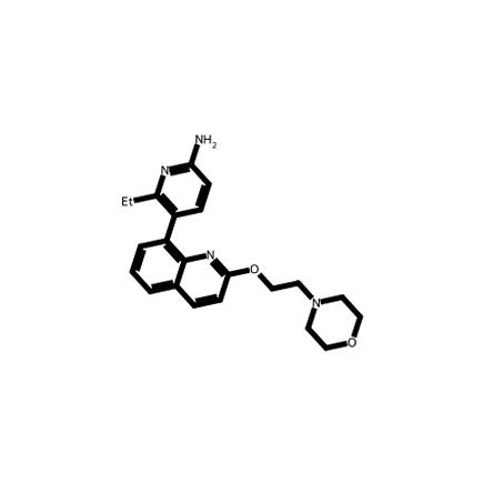 CCc1nc(N)ccc1-c1cccc2ccc(OCCN3CCOCC3)nc12